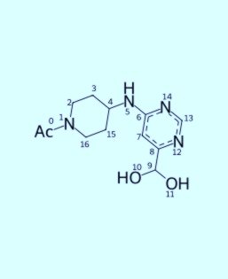 CC(=O)N1CCC(Nc2cc(C(O)O)ncn2)CC1